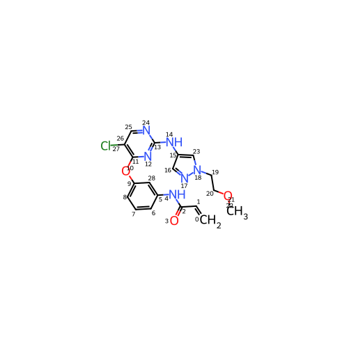 C=CC(=O)Nc1cccc(Oc2nc(Nc3cnn(CCOC)c3)ncc2Cl)c1